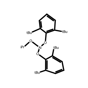 CC(C)[O][Al]([O]c1c(C(C)(C)C)cccc1C(C)(C)C)[O]c1c(C(C)(C)C)cccc1C(C)(C)C